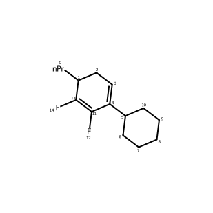 CCCC1CC=C(C2CCCCC2)C(F)=C1F